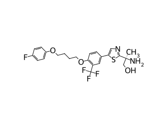 C[C@](N)(CO)c1ncc(-c2ccc(OCCCCOc3ccc(F)cc3)c(C(F)(F)F)c2)s1